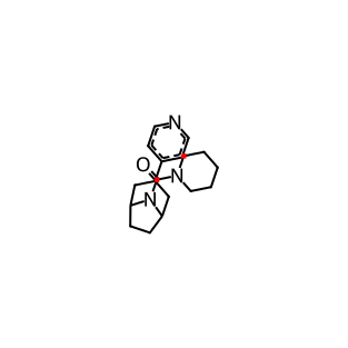 O=C(N1CCCCC1)N1C2CCC1CC(c1ccncc1)C2